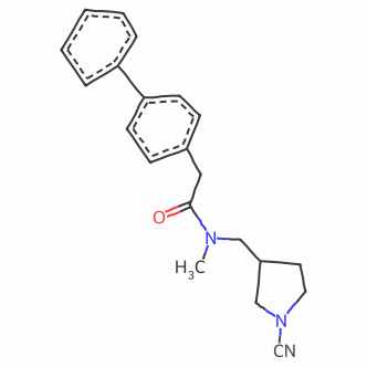 CN(CC1CCN(C#N)C1)C(=O)Cc1ccc(-c2ccccc2)cc1